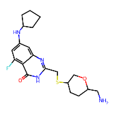 NCC1CCC(SCc2nc3cc(NC4CCCC4)cc(F)c3c(=O)[nH]2)CO1